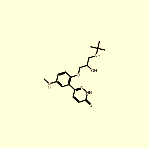 CNc1ccc(OCC(O)CNC(C)(C)C)c(-c2ccc(=S)[nH]n2)c1